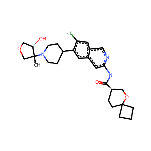 C[C@@]1(N2CCC(c3cc4cc(NC(=O)[C@@H]5CCC6(CCC6)OC5)ncc4cc3Cl)CC2)COC[C@@H]1O